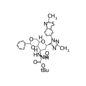 Cc1nc([C@@H]2O[C@@H]3COC(c4ccccc4)O[C@@H]3[C@H](NNC(=O)OC(C)(C)C)[C@H]2O)n(-c2ccc3nc(C)sc3c2)n1